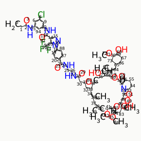 C=CC(=O)Nc1cc(Cl)cc(NC(=O)c2cnn(-c3ccc(C(=O)NCCNC(=O)CCC[C@@H]4/C=C(\C)C[C@H](C)C[C@H](OC)[C@H]5O[C@@](O)(C(=O)C(=O)N6CCCC[C@H]6C(=O)O[C@H](/C(C)=C/[C@@H]6CC[C@@H](O)[C@H](OC)C6)[C@H](C)[C@@H](O)CC4=O)[C@H](C)C[C@@H]5OC)cc3)c2C(F)(F)F)c1